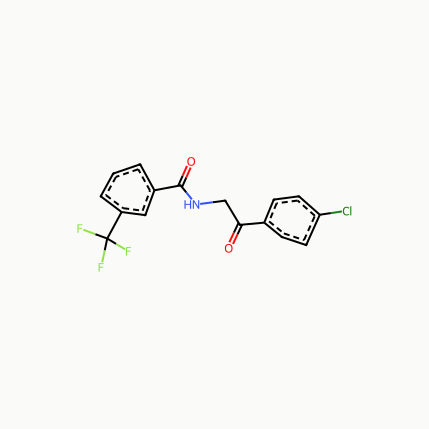 O=C(CNC(=O)c1cccc(C(F)(F)F)c1)c1ccc(Cl)cc1